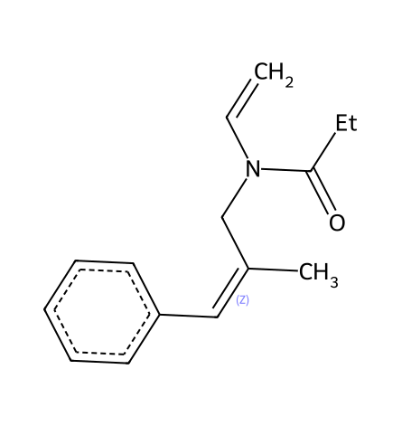 C=CN(C/C(C)=C\c1ccccc1)C(=O)CC